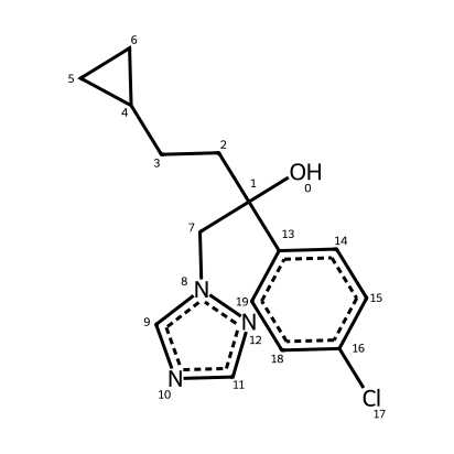 OC(CCC1CC1)(Cn1cncn1)c1ccc(Cl)cc1